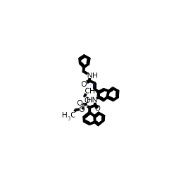 CCOP(=O)(OCC)C(C(=O)Nc1cc2ccccc2cc1/C=C/C(=O)NCc1ccccc1)c1cccc2ccccc12